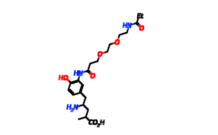 CCC(=O)NCCOCCOCCC(=O)Nc1cc(C[C@H](N)CC(C)C(=O)O)ccc1O